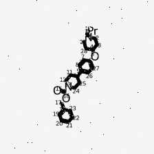 CC(C)N1CCC(Oc2ccc(C3CCN(C(=O)OCc4ccccc4)CC3)cc2)CC1